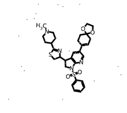 CN1CCC(C2=NC(C3CN(S(=O)(=O)c4ccccc4)c4ncc(C5=CCC6(CC5)OCCO6)cc43)CS2)CC1